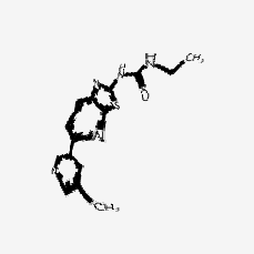 CCNC(=O)Nc1nc2ccc(-c3cncc(C)c3)nc2s1